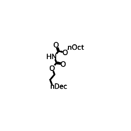 CCCCCCCCCCCCOC(=O)NC(=O)OCCCCCCCC